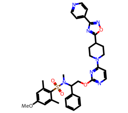 COc1cc(C)c(S(=O)(=O)N(C)C(COc2nccc(N3CCC(c4nc(-c5ccncc5)no4)CC3)n2)c2ccccc2)c(C)c1